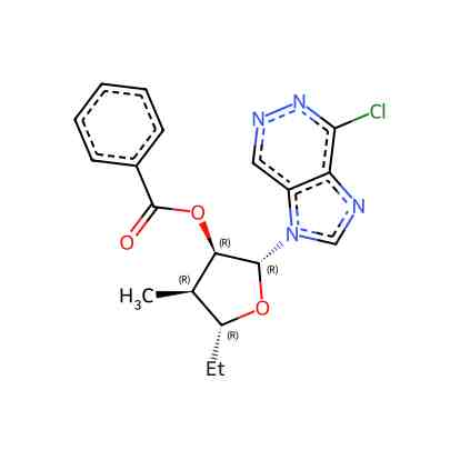 CC[C@H]1O[C@@H](n2cnc3c(Cl)nncc32)[C@H](OC(=O)c2ccccc2)[C@@H]1C